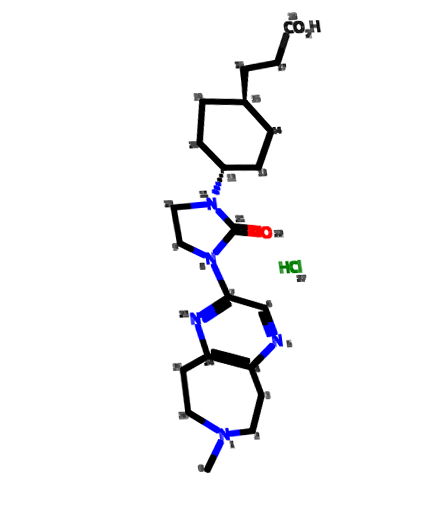 CN1CCc2ncc(N3CCN([C@H]4CC[C@H](CCC(=O)O)CC4)C3=O)nc2CC1.Cl